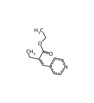 CCOC(=O)C(=Cc1ccncc1)CC